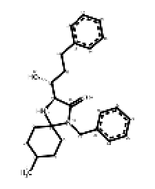 CC1CCC2(CC1)N[C@@H]([C@H](O)CCc1ccccc1)C(=O)N2Cc1ccccc1